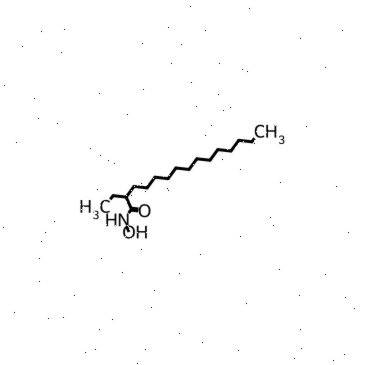 CCCCCCCCCCCCCC(CC)C(=O)NO